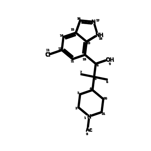 CC(=O)N1CCC(C(C)(C)C(O)c2cc(Cl)cc3cn[nH]c23)CC1